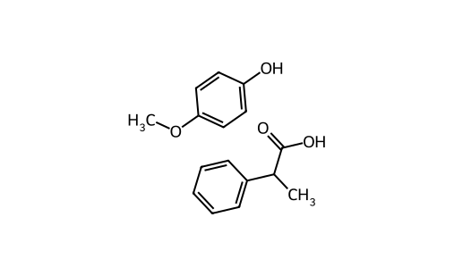 CC(C(=O)O)c1ccccc1.COc1ccc(O)cc1